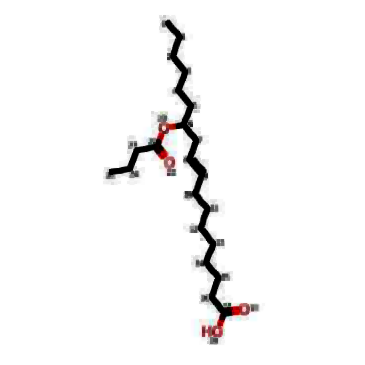 CCCCCCC(CC=CCCCCCCCC(=O)O)OC(=O)CCC